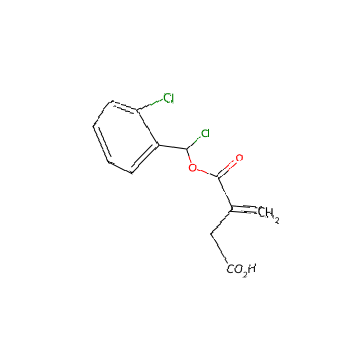 C=C(CC(=O)O)C(=O)OC(Cl)c1ccccc1Cl